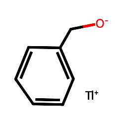 [O-]Cc1ccccc1.[Tl+]